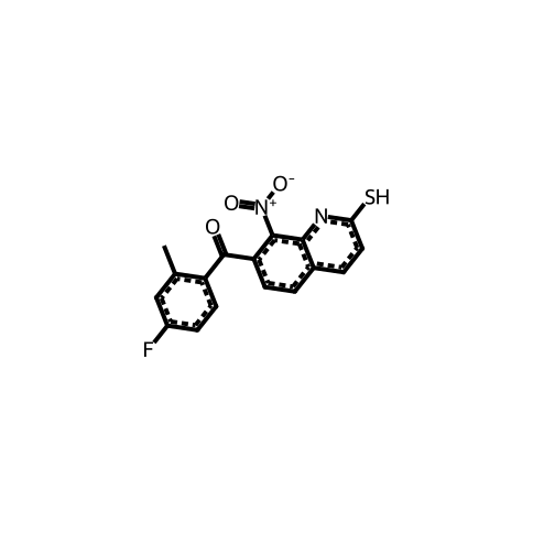 Cc1cc(F)ccc1C(=O)c1ccc2ccc(S)nc2c1[N+](=O)[O-]